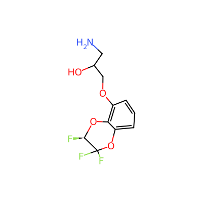 NCC(O)COc1cccc2c1O[C@H](F)C(F)(F)O2